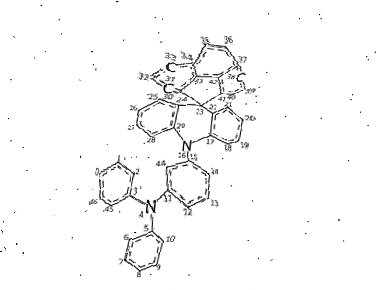 c1ccc(N(c2ccccc2)c2cccc(N3c4ccccc4C4(c5ccccc53)c3cccc5ccc6cccc4c6c35)c2)cc1